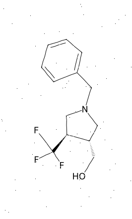 OC[C@H]1CN(Cc2ccccc2)C[C@@H]1C(F)(F)F